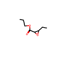 CCCOC(=O)C1OC1CC